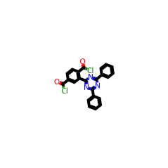 O=C(Cl)c1ccc(C(=O)Cl)c(-c2nc(-c3ccccc3)nc(-c3ccccc3)n2)c1